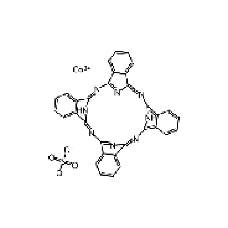 O=S(=O)([O-])[O-].[Co+2].c1ccc2c(c1)-c1nc-2nc2[nH]c(nc3nc(nc4[nH]c(n1)c1ccccc41)-c1ccccc1-3)c1ccccc21